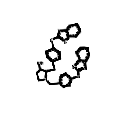 OC1CCN(Cc2ccc(Oc3nc4ccccc4s3)cc2)C1Cc1ccc(Oc2nc3ccccc3s2)cc1